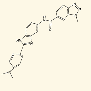 CN(C)c1ccc(-c2nc3cc(NC(=O)c4ccc5nnn(C)c5c4)ccc3[nH]2)cc1